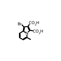 Cc1cccc2c(Br)c(C(=O)O)c(C(=O)O)n12